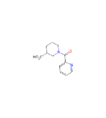 O=C(O)C1CCCN(C(=O)c2ccccn2)C1